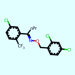 CCC/C(=N\OCc1ccc(Cl)cc1Cl)c1cc(Cl)ccc1C(F)(F)F